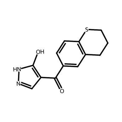 O=C(c1ccc2c(c1)CCCS2)c1cn[nH]c1O